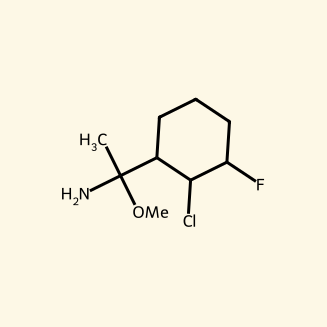 COC(C)(N)C1CCCC(F)C1Cl